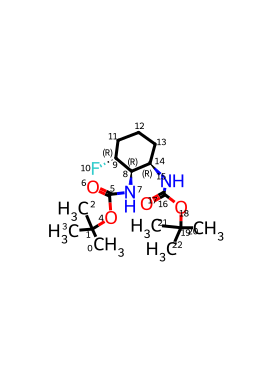 CC(C)(C)OC(=O)N[C@H]1[C@H](F)CCC[C@H]1NC(=O)OC(C)(C)C